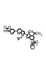 COc1cc(C(=O)N2CC3CCC2C3N)cc2nc(-c3cc4ccc(-c5cnc6[nH]c(=O)oc6c5)nc4n3CC3CC3)n(C)c12